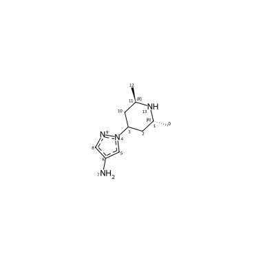 C[C@@H]1CC(n2cc(N)cn2)C[C@@H](C)N1